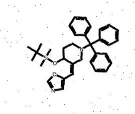 CC(C)(C)[Si](C)(C)OC1CCN(C(c2ccccc2)(c2ccccc2)c2ccccc2)CC1=Cc1cnco1